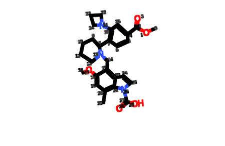 COC(=O)c1ccc(C2CCCCN2Cc2c(OC)cc(C)c3c2ccn3C(=O)O)c(N2CCC2)c1